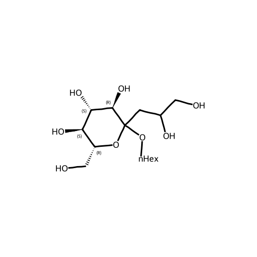 CCCCCCOC1(CC(O)CO)O[C@H](CO)[C@@H](O)[C@H](O)[C@H]1O